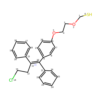 SCOCCOc1ccc(/C(=C(/CCCl)c2ccccc2)c2ccccc2)cc1